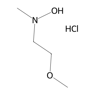 COCCN(C)O.Cl